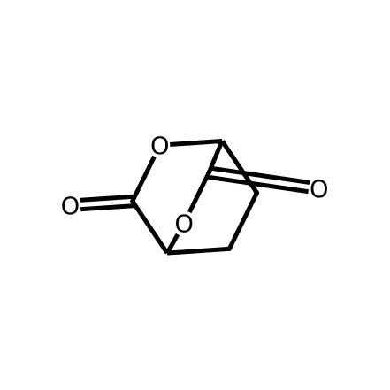 O=C1OC2CCC1OC2=O